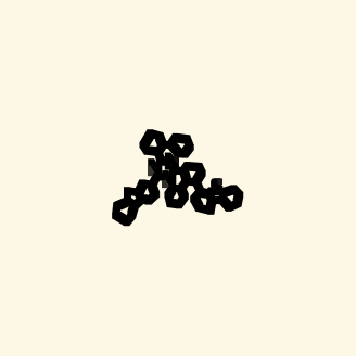 c1ccc(-c2ccccc2-c2nc(-c3ccc4c(c3)Cc3ccccc3-4)nc(-c3cccc(-c4cccc5c4sc4ccccc45)c3-c3ccccc3)n2)cc1